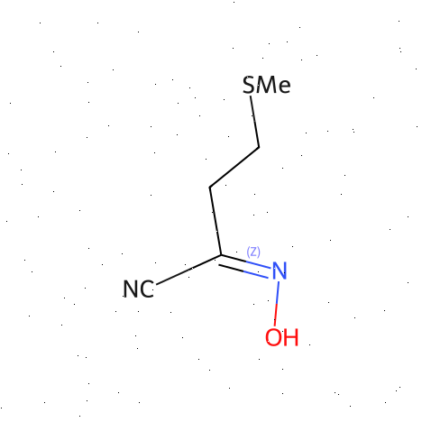 CSCC/C(C#N)=N/O